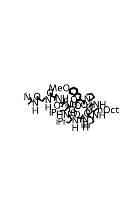 CCCCCCCCC(NC(=O)[C@@H]1CCCN1C(=O)c1cc2ccc(OC)cc2oc1=O)C(=O)NC(CC(C)C)C(=O)NC(C)(C)C(=O)NC(CC(C)C)C(=O)NC(CC(C)C)C(=O)NC(C)(C)C(=O)NC(C)(C)C(=O)NCCC(=O)NC(C)CN(C)C